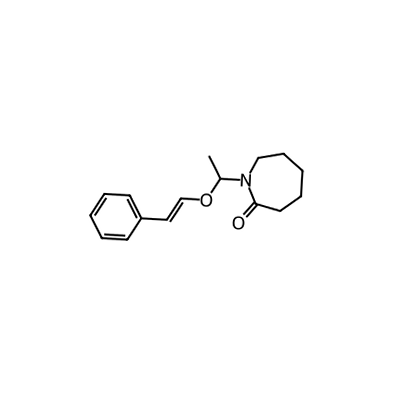 CC(OC=Cc1ccccc1)N1CCCCCC1=O